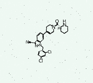 N#Cc1nn(Cc2ccc(Cl)cc2Cl)c2cc(C3=CCN(C(=O)[C@H]4CCCCN4)CC3)ccc12